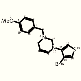 COc1ccc(CN2CC=CN(c3cscc3Br)C2)cc1